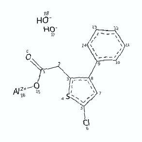 O=C(Cc1sc(Cl)cc1-c1ccccc1)[O][Al+2].[OH-].[OH-]